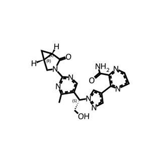 Cc1nc(N2C[C@@H]3C[C@@H]3C2=O)ncc1[C@@H](CO)n1cc(-c2nccnc2C(N)=O)cn1